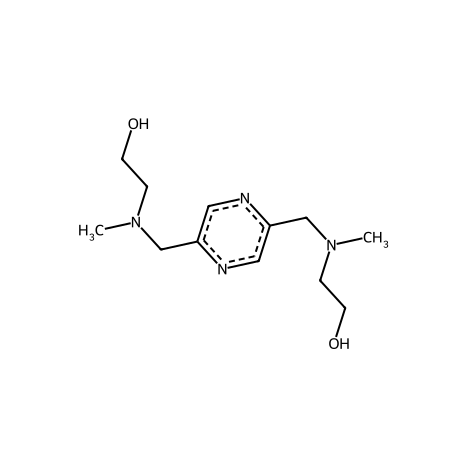 CN(CCO)Cc1cnc(CN(C)CCO)cn1